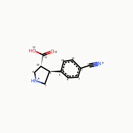 N#Cc1ccc([C@H]2CNC[C@@H]2C(=O)O)cc1